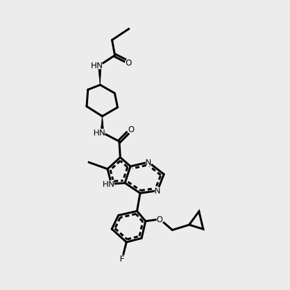 CCC(=O)N[C@H]1CC[C@@H](NC(=O)c2c(C)[nH]c3c(-c4ccc(F)cc4OCC4CC4)ncnc23)CC1